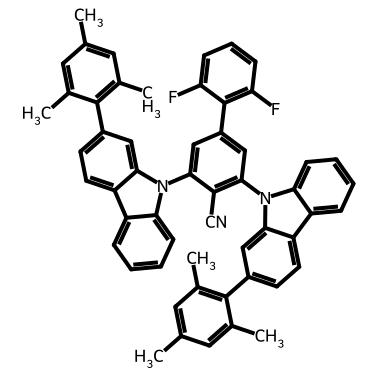 Cc1cc(C)c(-c2ccc3c4ccccc4n(-c4cc(-c5c(F)cccc5F)cc(-n5c6ccccc6c6ccc(-c7c(C)cc(C)cc7C)cc65)c4C#N)c3c2)c(C)c1